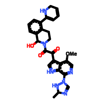 COc1cnc(N2C=NC(C)N2)c2[nH]cc(C(=O)C(=O)N3CCc4c(C5=CC=CCN5)cccc4C3O)c12